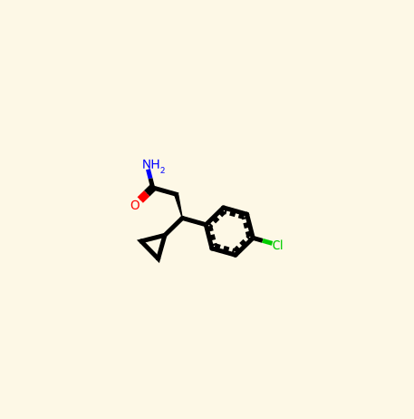 NC(=O)C[C@@H](c1ccc(Cl)cc1)C1CC1